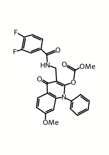 COC(=O)Oc1c(CNC(=O)c2ccc(F)c(F)c2)c(=O)c2ccc(OC)cc2n1-c1ccccc1